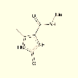 Cc1[nH]c(=O)[nH]c1C(=O)NC(C)(C)C